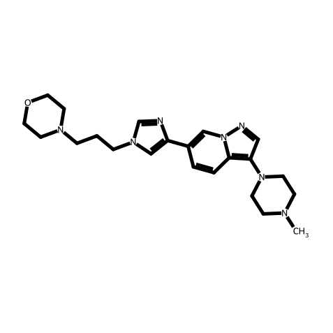 CN1CCN(c2cnn3cc(-c4cn(CCCN5CCOCC5)cn4)ccc23)CC1